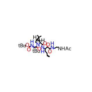 C=CCCC(NC(=O)C1[C@H]2[C@@H](CN1C(=O)[C@@H](NC(=O)OC(C)(C)C)C(C)(C)C)C2(C)C)C(=O)C(=O)NCCNC(C)=O